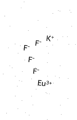 [Eu+3].[F-].[F-].[F-].[F-].[K+]